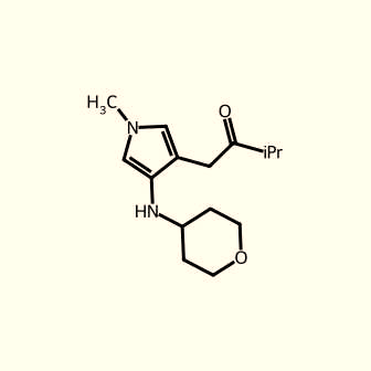 CC(C)C(=O)Cc1cn(C)cc1NC1CCOCC1